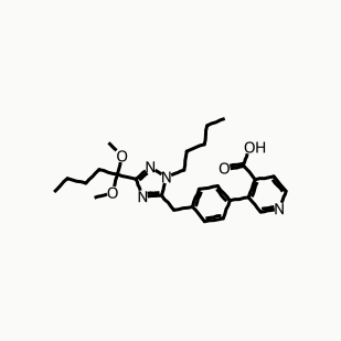 CCCCCn1nc(C(CCCC)(OC)OC)nc1Cc1ccc(-c2cnccc2C(=O)O)cc1